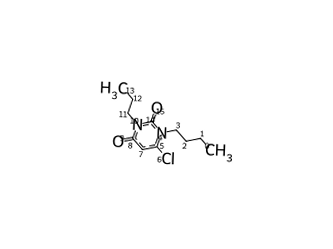 CCCCn1c(Cl)cc(=O)n(CCC)c1=O